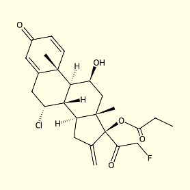 C=C1C[C@H]2[C@H]3[C@H]([C@@H](O)C[C@]2(C)[C@]1(OC(=O)CC)C(=O)CF)[C@@]1(C)C=CC(=O)C=C1C[C@H]3Cl